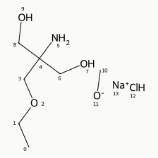 CCOCC(N)(CO)CO.C[O-].Cl.[Na+]